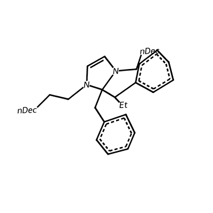 CCCCCCCCCCCCN1C=CN(CCCCCCCCCCC)C1(Cc1ccccc1)C(CC)c1ccccc1